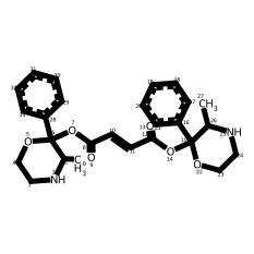 CC1NCCOC1(OC(=O)/C=C/C(=O)OC1(c2ccccc2)OCCNC1C)c1ccccc1